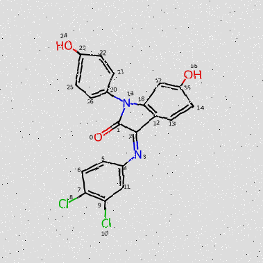 O=C1C(=Nc2ccc(Cl)c(Cl)c2)c2ccc(O)cc2N1c1ccc(O)cc1